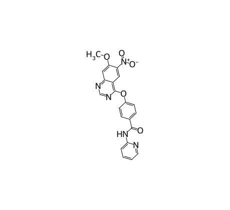 COc1cc2ncnc(Oc3ccc(C(=O)Nc4ccccn4)cc3)c2cc1[N+](=O)[O-]